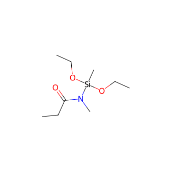 CCO[Si](C)(OCC)N(C)C(=O)CC